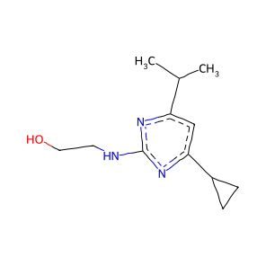 CC(C)c1cc(C2CC2)nc(NCCO)n1